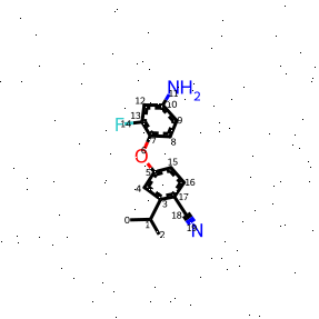 CC(C)c1cc(Oc2ccc(N)cc2F)ccc1C#N